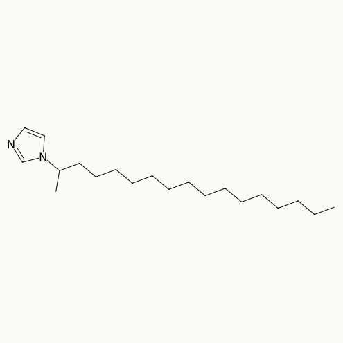 CCCCCCCCCCCCCCCC(C)n1ccnc1